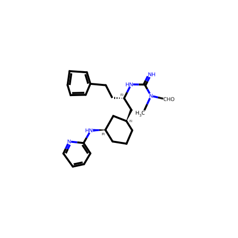 CN(C=O)C(=N)N[C@@H](CCc1ccccc1)C[C@H]1CCC[C@@H](Nc2ccccn2)C1